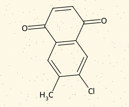 Cc1cc2c(cc1Cl)C(=O)C=CC2=O